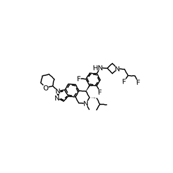 CC(C)C[C@H]1[C@H](c2c(F)cc(NC3CN(CC(F)CF)C3)cc2F)c2ccc3c(cnn3C3CCCCO3)c2CN1C